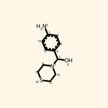 Nc1ccc(C(O)N2CCSCC2)cc1